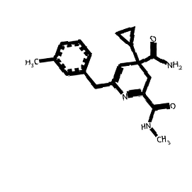 CNC(=O)C1=NC(Cc2cccc(C)c2)=CC(C(N)=O)(C2CC2)C1